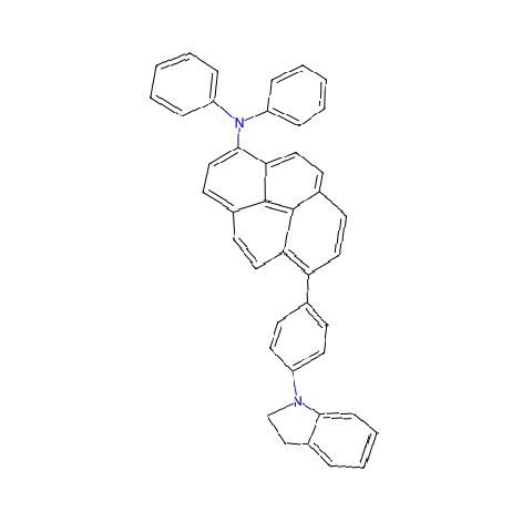 c1ccc(N(c2ccccc2)c2ccc3ccc4c(-c5ccc(N6CCc7ccccc76)cc5)ccc5ccc2c3c54)cc1